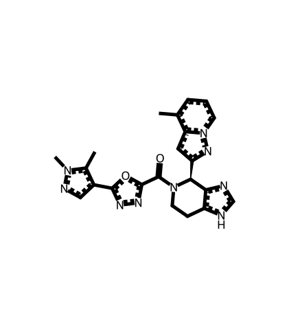 Cc1cccn2nc([C@H]3c4nc[nH]c4CCN3C(=O)c3nnc(-c4cnn(C)c4C)o3)cc12